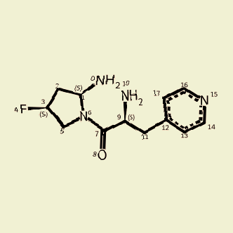 N[C@@H]1C[C@H](F)CN1C(=O)[C@@H](N)Cc1ccncc1